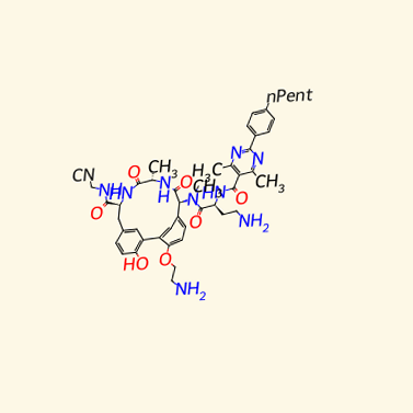 CCCCCc1ccc(-c2nc(C)c(C(=O)N[C@@H](CCN)C(=O)N(C)[C@@H]3C(=O)N[C@@H](C)C(=O)N[C@H](C(=O)NCC#N)Cc4ccc(O)c(c4)-c4cc3ccc4OCCN)c(C)n2)cc1